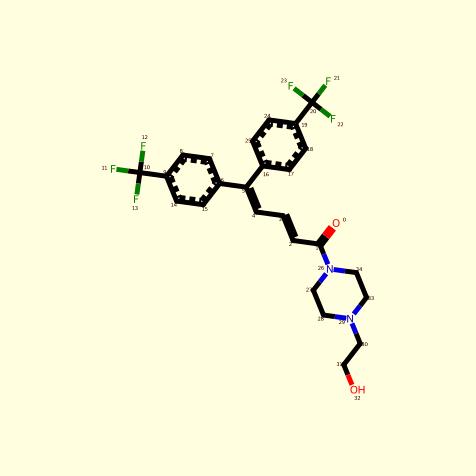 O=C(C=CC=C(c1ccc(C(F)(F)F)cc1)c1ccc(C(F)(F)F)cc1)N1CCN(CCO)CC1